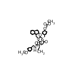 C=CCN(C(=O)NCc1ccc(OC)cc1)N1CC(=O)N2[C@@H](Cc3ccc(OCC(=O)OC)cc3)C(=O)N(Cc3cccc4ccccc34)C[C@@H]21